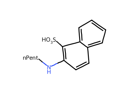 CCCCCNc1ccc2ccccc2c1S(=O)(=O)O